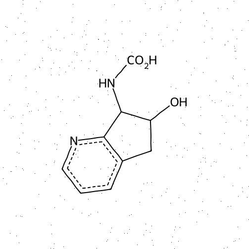 O=C(O)NC1c2ncccc2CC1O